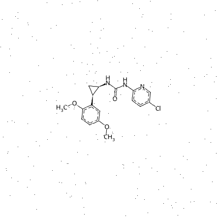 COc1ccc(OC)c([C@H]2C[C@H]2NC(=O)Nc2ccc(Cl)cn2)c1